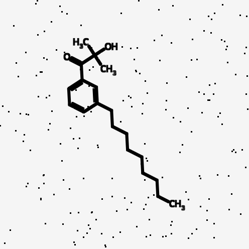 CCCCCCCCCc1cccc(C(=O)C(C)(C)O)c1